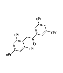 CCCc1[c]c(CCC)cc(C(=O)Cc2c(CCC)cc(CCC)cc2CCC)c1